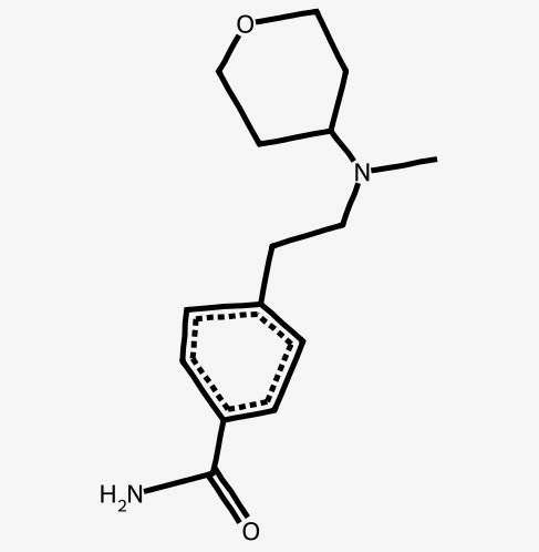 CN(CCc1ccc(C(N)=O)cc1)C1CCOCC1